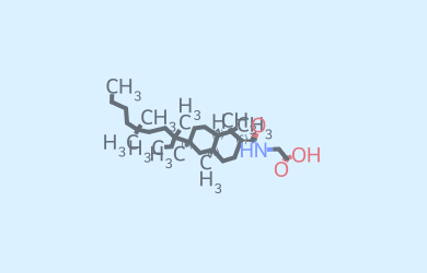 CCCCC(C)(C)CCC(C)(CC)[C@]1(C)CC[C@H]2C(C)(C)[C@@H](C(=O)NCC(=O)O)CC[C@]2(C)C1